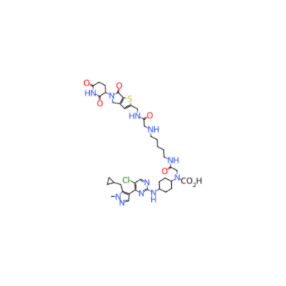 Cn1ncc(-c2nc(NC3CCC(N(CC(=O)NCCCCCNCC(=O)NCc4cc5c(s4)C(=O)N(C4CCC(=O)NC4=O)C5)C(=O)O)CC3)ncc2Cl)c1CC1CC1